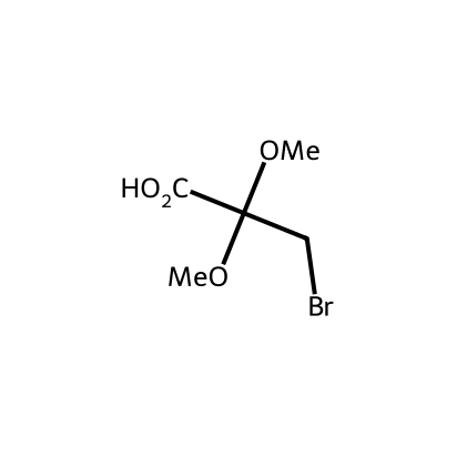 COC(CBr)(OC)C(=O)O